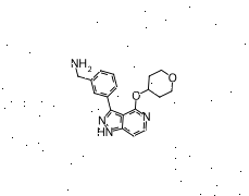 NCc1cccc(-c2n[nH]c3ccnc(OC4CCOCC4)c23)c1